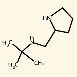 CC(C)(C)NCC1CCCN1